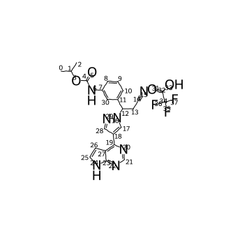 CC(C)OC(=O)Nc1cccc(C(CC#N)n2cc(-c3ncnc4[nH]ccc34)cn2)c1.O=C(O)C(F)(F)F